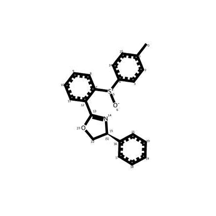 Cc1ccc([S+]([O-])c2ccccc2C2=N[C@@H](c3ccccc3)CO2)cc1